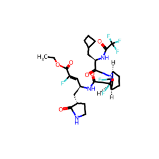 CCOC(=O)/C(F)=C/[C@H](C[C@@H]1CCNC1=O)NC(=O)[C@@H]1[C@@H]2CC[C@@H](CC2(F)F)N1C(=O)[C@@H](CC1CCC1)NC(=O)C(F)(F)F